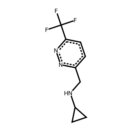 FC(F)(F)c1ccc(CNC2CC2)nn1